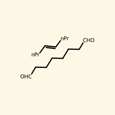 CCCC=CCCC.O=CCCCCCCC=O